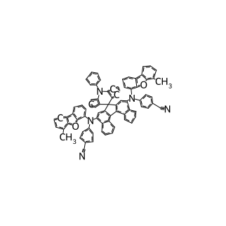 Cc1cccc2c1oc1c(N(c3ccc(C#N)cc3)c3cc4c(c5ccccc35)-c3c(cc(N(c5ccc(C#N)cc5)c5cccc6c5oc5c(C)cccc56)c5ccccc35)C43c4ccccc4N(c4ccccc4)c4ccccc43)cccc12